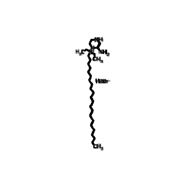 Br.CCCCCCCCCCCCCCCCCCCCCC[N+](CC)(CC)N1CCNCC1N.[Br-]